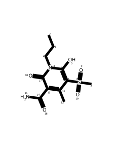 CCCn1c(O)c(S(C)(=O)=O)c(C)c(C(N)=O)c1=O